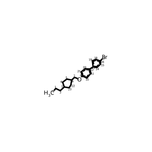 CCCC1CCC(COc2ccc(-c3ccc(Br)cc3)cc2)CC1